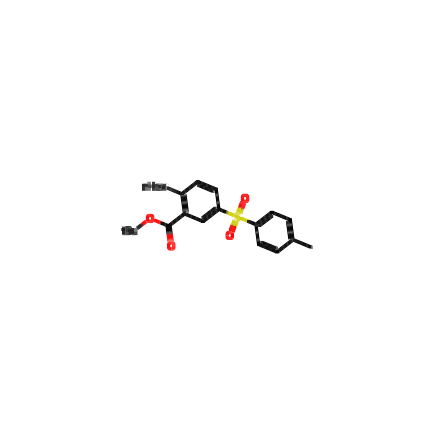 CCCCCCc1ccc(S(=O)(=O)c2ccc(C)cc2)cc1C(=O)OC(C)(C)C